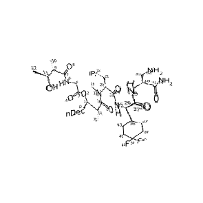 CCCCCCCCCC[C@@H](OC(=O)CNC(=O)[C@@H](C)[C@H](C)O)[C@@H](C)C(=O)N(C)[C@@H](CC(C)C)C(=O)N[C@H](C(=O)N[C@@H](CN)C(N)=O)C1CCC(F)(F)CC1